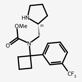 COC(=O)N(C[C@H]1CCCN1)C1(c2cccc(C(F)(F)F)c2)CCC1